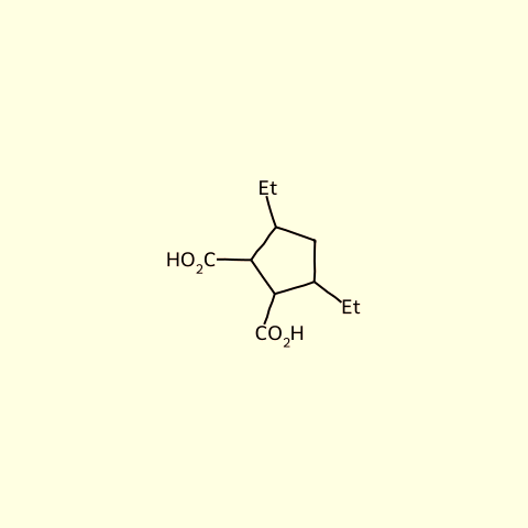 CCC1CC(CC)C(C(=O)O)C1C(=O)O